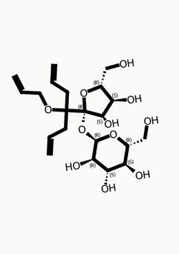 C=CCOC(CC=C)(CC=C)[C@@]1(O[C@H]2O[C@H](CO)[C@@H](O)[C@H](O)[C@H]2O)O[C@H](CO)[C@@H](O)[C@@H]1O